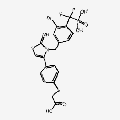 N=c1scc(-c2ccc(SCC(=O)O)cc2)n1Cc1ccc(C(F)(F)P(=O)(O)O)c(Br)c1